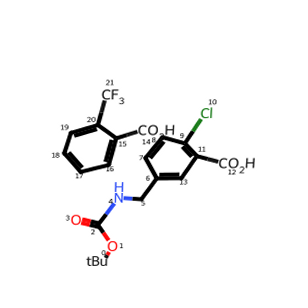 CC(C)(C)OC(=O)NCc1ccc(Cl)c(C(=O)O)c1.O=C(O)c1ccccc1C(F)(F)F